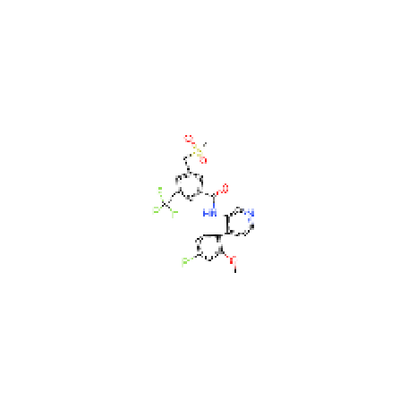 COc1cc(F)ccc1-c1ccncc1NC(=O)c1cc(CS(C)(=O)=O)cc(C(F)(F)F)c1